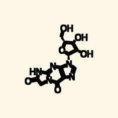 O=C1Cn2c(nc3c(ncn3[C@@H]3O[C@H](CO)[C@@H](O)[C@H]3O)c2=O)N1